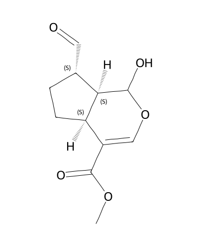 COC(=O)C1=COC(O)[C@H]2[C@@H]1CC[C@@H]2C=O